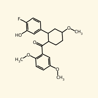 COc1ccc(OC)c(C(=O)C2CCC(OC)CC2c2ccc(F)c(O)c2)c1